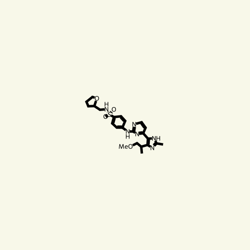 COCC(C)c1nc(C)[nH]c1-c1ccnc(Nc2ccc(S(=O)(=O)NCC3CCCO3)cc2)n1